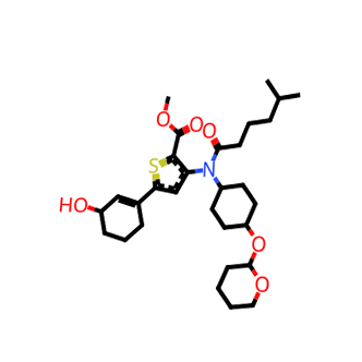 COC(=O)c1sc(C2=CC(O)CCC2)cc1N(C(=O)CCCC(C)C)C1CCC(OC2CCCCO2)CC1